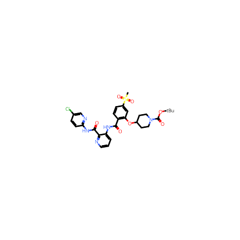 CC(C)(C)OC(=O)N1CCC(Oc2cc(S(C)(=O)=O)ccc2C(=O)Nc2cccnc2C(=O)Nc2ccc(Cl)cn2)CC1